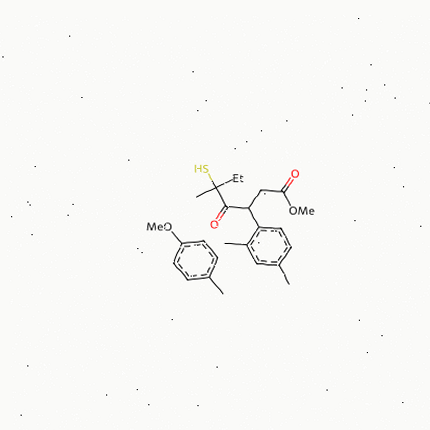 CCC(C)(S)C(=O)C(CC(=O)OC)c1ccc(C)cc1C.COc1ccc(C)cc1